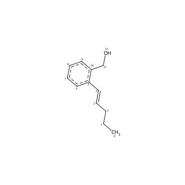 CCCC=Cc1ccccc1CO